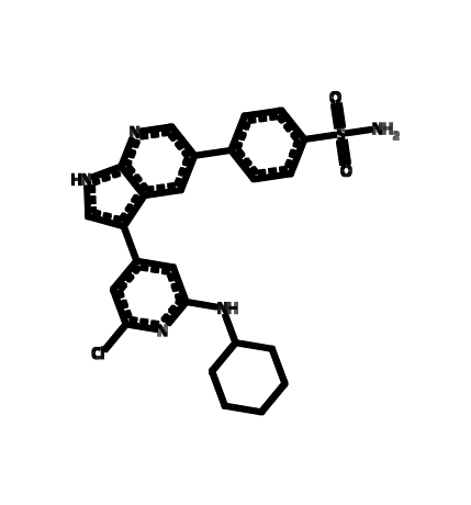 NS(=O)(=O)c1ccc(-c2cnc3[nH]cc(-c4cc(Cl)nc(NC5CCCCC5)c4)c3c2)cc1